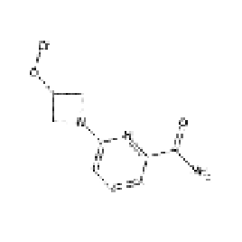 CCOC1CN(c2cc[c]c(C(N)=O)n2)C1